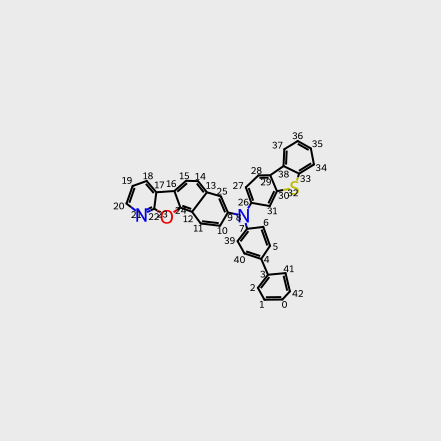 c1ccc(-c2ccc(N(c3ccc4c(ccc5c6cccnc6oc45)c3)c3ccc4c(c3)sc3ccccc34)cc2)cc1